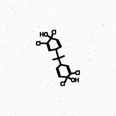 CC(C)(C1C=CC(O)(Cl)C(Cl)=C1)C1C=CC(O)(Cl)C(Cl)=C1